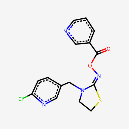 O=C(O/N=C1/SCCN1Cc1ccc(Cl)nc1)c1cccnc1